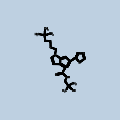 CC(C)(O)CNC(=O)c1cc(-c2cncs2)cc2c1ccn2COCC[Si](C)(C)C